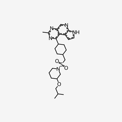 Cc1nc(C2CCC(CS(=O)(=O)N3CCCC(OCC(C)C)C3)CC2)c2c(cnc3[nH]ccc32)n1